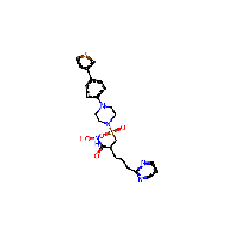 O=C(NO)C(CCCc1ncccn1)CS(=O)(=O)N1CCN(c2ccc(-c3ccsc3)cc2)CC1